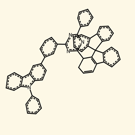 C1=CC2=C(C(c3nc(-c4ccccc4)nc(-c4cccc(-c5ccc6c(c5)c5ccccc5n6-c5ccccc5)c4)n3)C1)C1(c3ccccc32)c2ccccc2-c2ccccc21